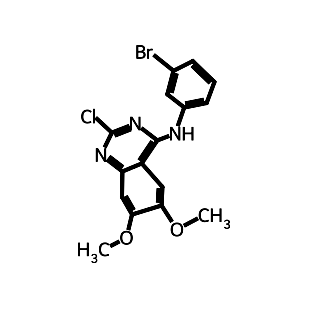 COc1cc2nc(Cl)nc(Nc3cccc(Br)c3)c2cc1OC